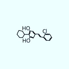 Oc1cc(C=Cc2ccccc2Cl)cc(O)c1C1CCCCC1